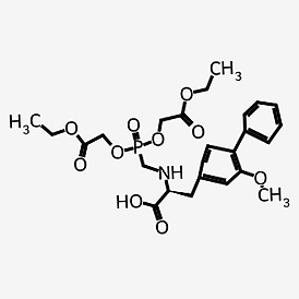 CCOC(=O)COP(=O)(CN[C@@H](Cc1ccc(-c2ccccc2)c(OC)c1)C(=O)O)OCC(=O)OCC